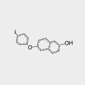 Oc1ccc2cc(Oc3ccc(I)cc3)ccc2c1